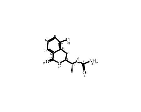 C[C@H](OC(N)=O)C1Cc2c(Cl)cccc2C(=O)O1